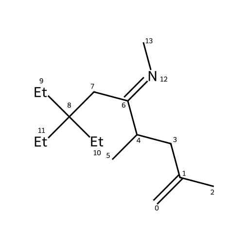 C=C(C)CC(C)/C(CC(CC)(CC)CC)=N/C